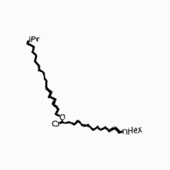 CCCCCCC=CCCCCCCCCCCCC(=O)OCCCCCCCCCCCCCCCCCC(C)C